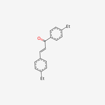 CCc1ccc(/C=C/C(=O)c2ccc(CC)cc2)cc1